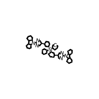 c1ccc([Si](c2ccccc2)(c2cccc(-c3cnc(-n4c5ccccc5c5ccccc54)nc3)c2)c2cccc(-c3cnc(-n4c5ccccc5c5ccccc54)nc3)c2)cc1